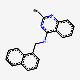 CC(C)(C)c1nc(NCc2cccc3ccccc23)c2ccccc2n1